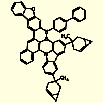 CC1(c2ccc3c(c2)c2cc(C4(C)CC=C5CC5C4)cc4c2n3-c2c3c(cc5ccccc25)-c2cc5c(cc2N(c2ccc(-c6ccccc6)cc2)B34)oc2ccccc25)CC=C2CC2C1